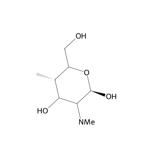 CNC1C(O)[C@H](C)C(CO)O[C@H]1O